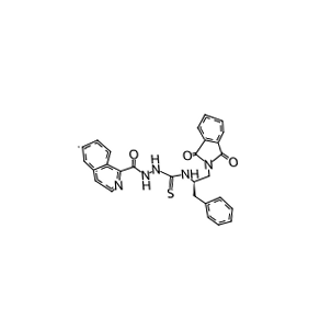 O=C(NNC(=S)N[C@H](Cc1ccccc1)CN1C(=O)c2ccccc2C1=O)c1nccc2c[c]ccc12